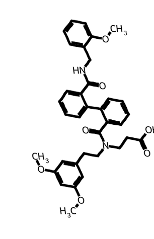 COc1cc(CCN(CCC(=O)O)C(=O)c2ccccc2-c2ccccc2C(=O)NCc2ccccc2OC)cc(OC)c1